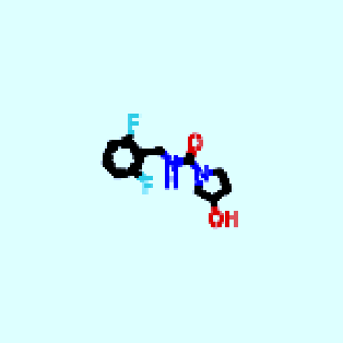 O=C(NCc1c(F)cccc1F)N1CCC(O)C1